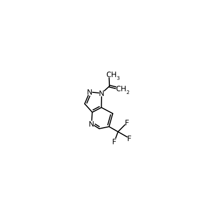 C=C(C)n1ncc2ncc(C(F)(F)F)cc21